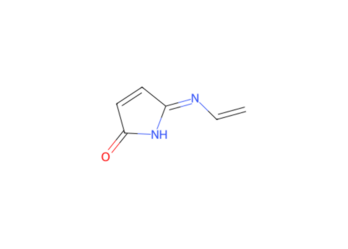 C=CN=C1C=CC(=O)N1